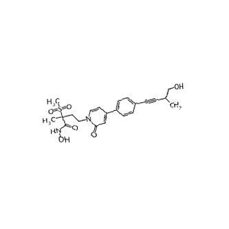 CC(C#Cc1ccc(-c2ccn(CCC(C)(C(=O)NO)S(C)(=O)=O)c(=O)c2)cc1)CO